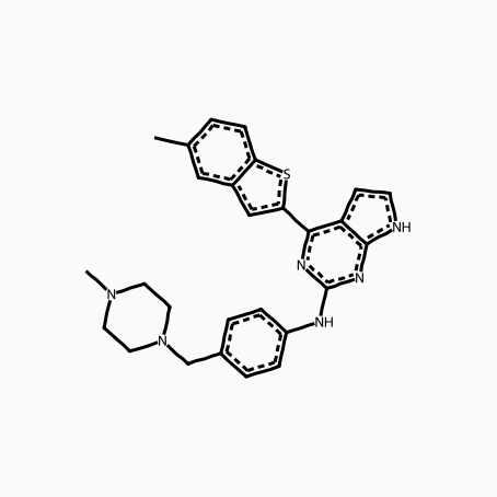 Cc1ccc2sc(-c3nc(Nc4ccc(CN5CCN(C)CC5)cc4)nc4[nH]ccc34)cc2c1